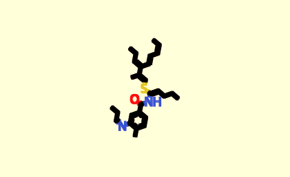 C\C=C/C=C/C(=C\CC)C(/C)=C/S/C(=C/CCC)NC(=O)c1ccc(C)c(/N=C\CC)c1